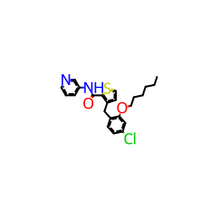 CCCCCCOc1cc(Cl)ccc1Cc1ccsc1C(=O)Nc1cccnc1